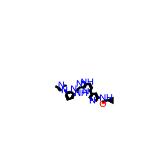 Cc1cn(-c2cccc3[nH]c(-c4n[nH]c5ccc(-c6cncc(NC(=O)C7CC7)c6)nc45)nc23)cn1